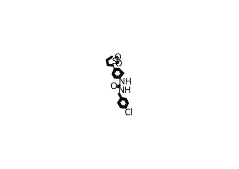 O=C(NCc1ccc(Cl)cc1)Nc1ccc([C@H]2CCCS2(=O)=O)cc1